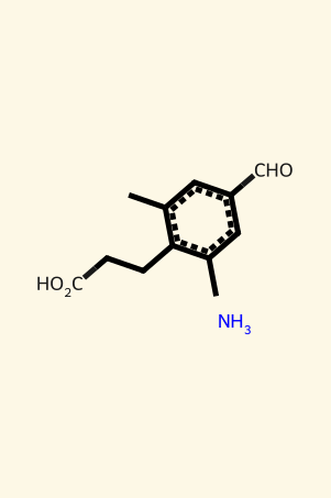 Cc1cc(C=O)cc(C)c1CCC(=O)O.N